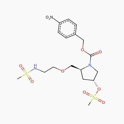 CS(=O)(=O)NCCOC[C@@H]1C[C@@H](OS(C)(=O)=O)CN1C(=O)OCc1ccc([N+](=O)[O-])cc1